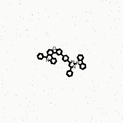 C1=C(c2ccc3oc4ccc5c(-c6ccccc6)nc6ccccc6c5c4c3c2)CCC(c2cc(-c3ccccc3)nc(-n3c4ccccc4c4ccccc43)n2)=C1